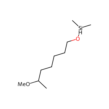 COC(C)CCCCCO[SiH](C)C